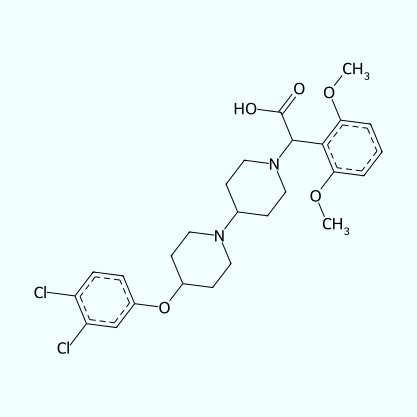 COc1cccc(OC)c1C(C(=O)O)N1CCC(N2CCC(Oc3ccc(Cl)c(Cl)c3)CC2)CC1